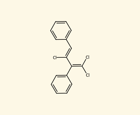 ClC(=Cc1ccccc1)C(=C(Cl)Cl)c1ccccc1